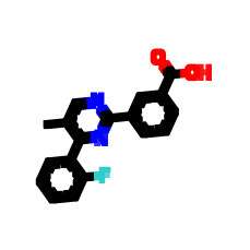 Cc1cnc(-c2cccc(C(=O)O)c2)nc1-c1ccccc1F